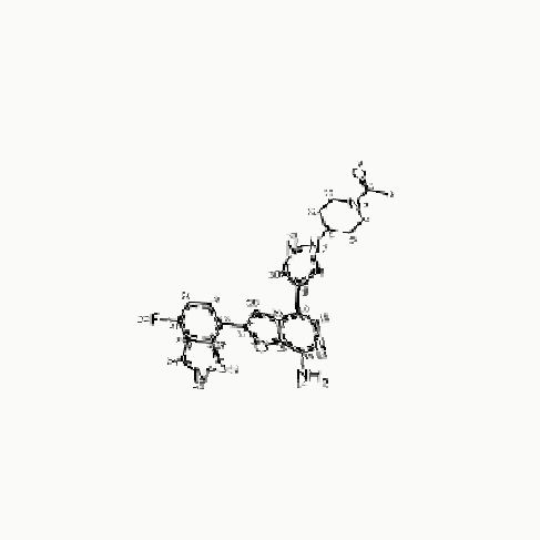 CC(=O)N1CCC(n2cc(-c3cnc(N)c4oc(-c5ccc(F)c6cnsc56)cc34)cn2)CC1